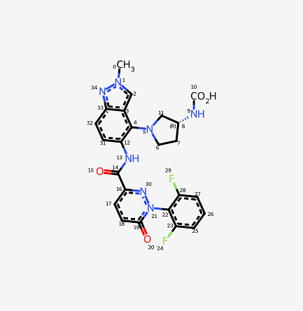 Cn1cc2c(N3CC[C@@H](NC(=O)O)C3)c(NC(=O)c3ccc(=O)n(-c4c(F)cccc4F)n3)ccc2n1